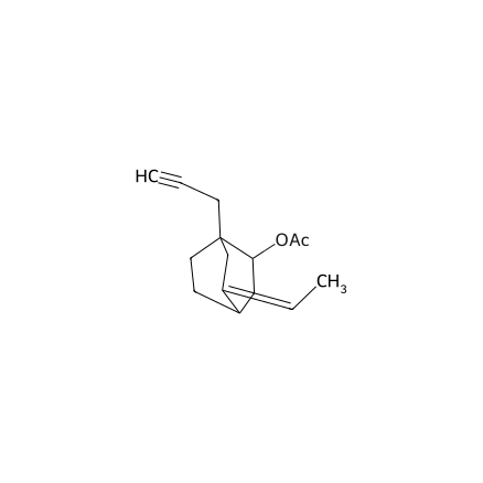 C#CCC12CCC(CC1OC(C)=O)/C(=C/C)C2